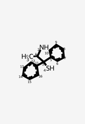 C[C@@H](N)C(S)(c1ccccc1)c1ccccc1